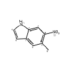 Cc1cc2cc[nH]c2cc1[N+](=O)[O-]